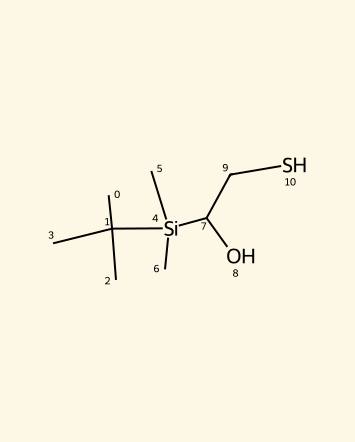 CC(C)(C)[Si](C)(C)C(O)CS